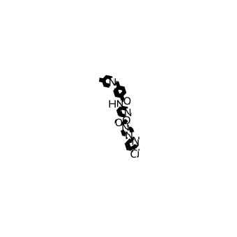 CC1CCN(Cc2ccc(C(=O)Nc3ccc(OC(=O)N4CCN(c5ccc(Cl)cn5)CC4)nc3)cc2)CC1